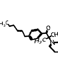 CCCCCCc1ccc(C(=O)C(C)(C)N2CCOCC2)cc1